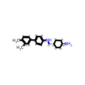 Cc1ccc(-c2ccc(NC[C@H]3CC[C@H](N)CC3)cc2)cc1C